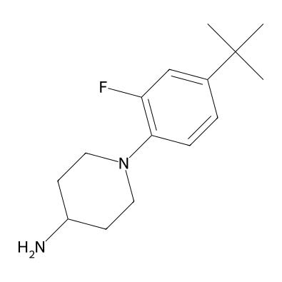 CC(C)(C)c1ccc(N2CCC(N)CC2)c(F)c1